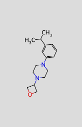 CC(C)c1cccc(N2CCN(C3COC3)CC2)c1